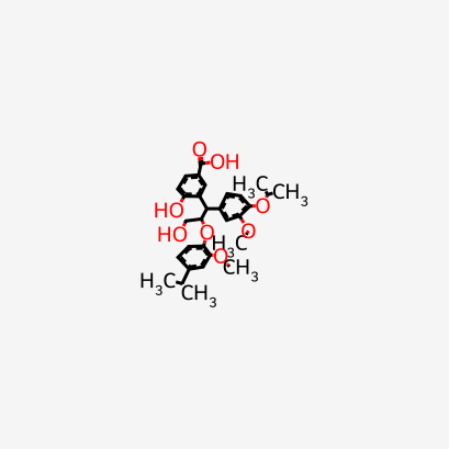 COc1cc(C(c2cc(C(=O)O)ccc2O)C(CO)Oc2ccc(C(C)C)cc2OC)ccc1OC(C)C